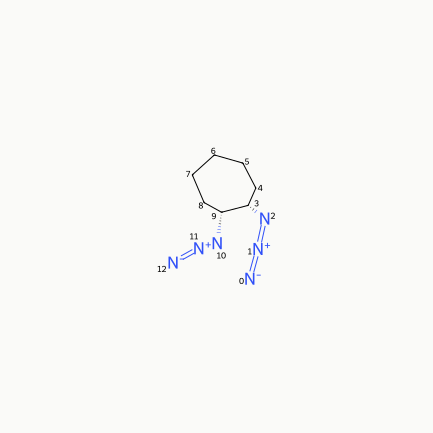 [N-]=[N+]=N[C@H]1CCCCC[C@H]1N=[N+]=[N-]